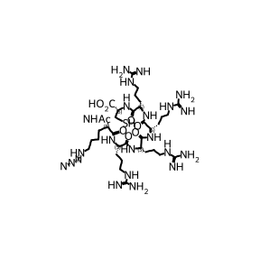 CC(=O)N[C@@H](CCCCNN=[N+]=[N-])C(=O)N[C@@H](CCCNC(=N)N)C(=O)N[C@@H](CCCNC(=N)N)C(=O)N[C@@H](CCCNC(=N)N)C(=O)N[C@@H](CCCNC(=N)N)C(=O)N[C@H](CS)C(=O)O